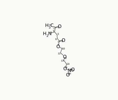 CC(=O)C(N)CCC(=O)OCCOCCO[N+](=O)[O-]